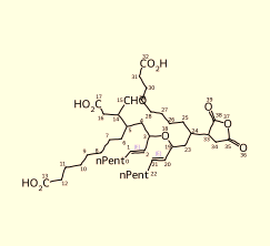 CCCCC/C=C/C(CC(CCCCCCCC(=O)O)C(C=O)CC(=O)O)OC(/C=C/CCCCC)CC(CCCCCCCC(=O)O)C1CC(=O)OC1=O